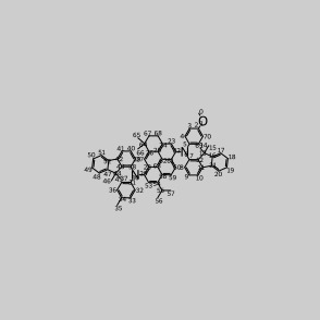 COc1ccc(N(c2cccc3c2C(C)(C)c2ccccc2-3)c2cc3c4c(cc5c(N(c6ccc(C)cc6)c6cccc7c6C(C)(C)c6ccccc6-7)cc(C(C)C)c6ccc2c4c65)C(C)(C)CC3)cc1